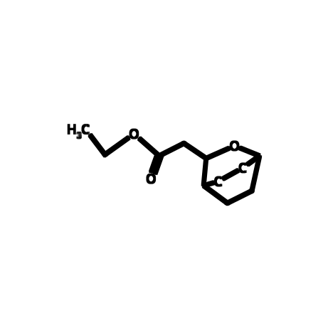 CCOC(=O)CC1OC2CCC1CC2